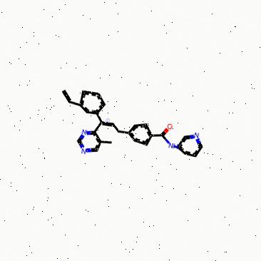 C=Cc1cccc(/C(=C/Cc2ccc(C(=O)Nc3cccnc3)cc2)c2ncncc2C)c1